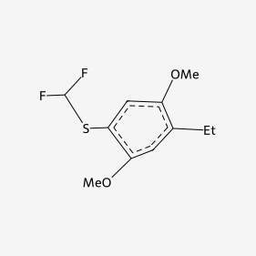 CCc1cc(OC)c(SC(F)F)cc1OC